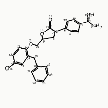 N=C(N)c1ccc(N2CC(COc3ccc(Cl)cc3Cc3ccccc3)OC2=O)cc1